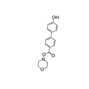 O=C(ON1CCOCC1)c1ccc(-c2ccc(O)cc2)cc1